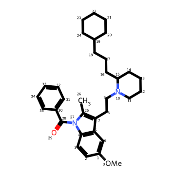 COc1ccc2c(c1)c(CCN1CCCCC1CCCC1CCCCC1)c(C)n2C(=O)c1ccccc1